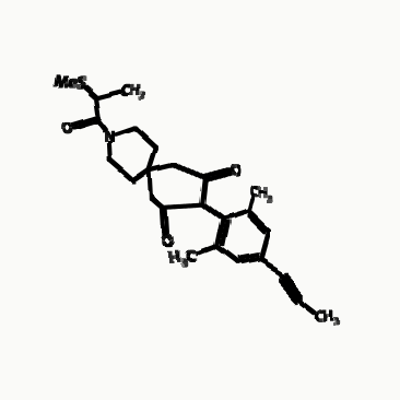 CC#Cc1cc(C)c(C2C(=O)CC3(CCN(C(=O)C(C)SC)CC3)CC2=O)c(C)c1